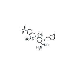 CC1([C@@H]2Cc3ccc(C(F)(F)F)cc3B(O)O2)C=CC(C(=N)N)=C(OCc2cccnc2)C1